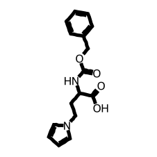 O=C(NC(CCn1cccc1)C(=O)O)OCc1ccccc1